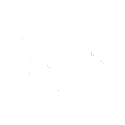 Cc1c(C2CN(C(=O)c3nnn(-c4ccc(F)cc4F)n3)Cc3ccccc32)cnn1C